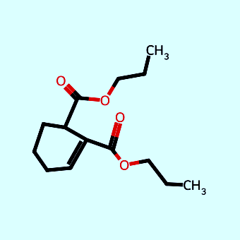 CCCOC(=O)C1=CCCCC1C(=O)OCCC